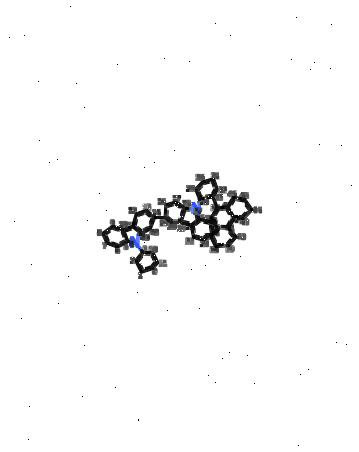 c1ccc(-n2c3ccccc3c3ccc(-c4ccc5c(c4)c4ccccc4n5-c4ccccc4-c4cc5ccccc5c5ccccc45)cc32)cc1